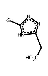 O=C(O)Cc1nnc([S])[nH]1